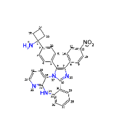 NC1(c2ccc(-c3c(-c4ccc([N+](=O)[O-])cc4)nc4n3-c3cccnc3Nc3ccccc3-4)cc2)CCC1